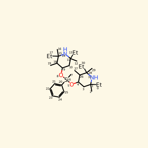 CCC1(C)CC(O[Si](C)(OC2CC(C)(CC)NC(C)(CC)C2C)c2ccccc2)C(C)C(C)(CC)N1